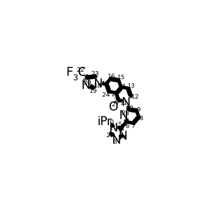 CC(C)n1cnnc1-c1cccc(-n2ccc3ccc(-n4cnc(C(F)(F)F)c4)cc3c2=O)n1